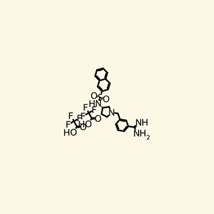 N=C(N)c1cccc(CN2CC[C@H](NS(=O)(=O)c3ccc4ccccc4c3)C2)c1.O=C(O)C(F)(F)F.O=C(O)C(F)(F)F